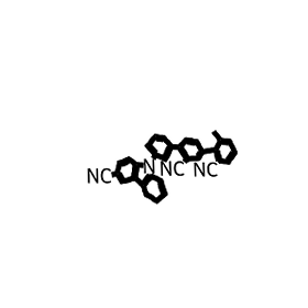 Cc1cccc(C#N)c1-c1ccc(-c2cccc(-n3c4c(c5cc(C#N)ccc53)CCC=C4)c2)c(C#N)c1